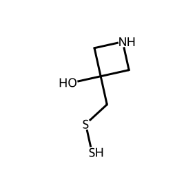 OC1(CSS)CNC1